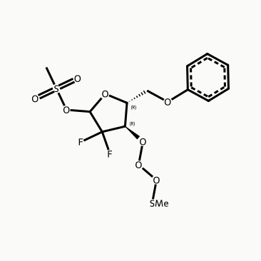 CSOOO[C@@H]1[C@@H](COc2ccccc2)OC(OS(C)(=O)=O)C1(F)F